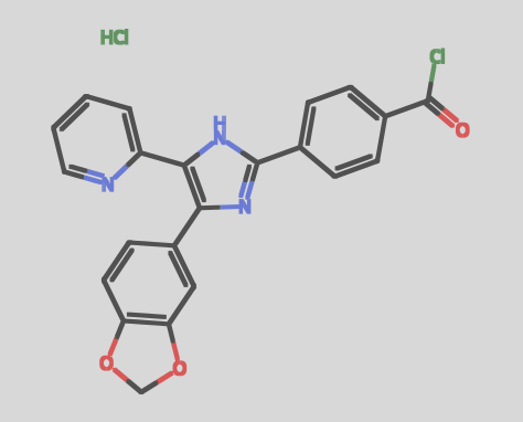 Cl.O=C(Cl)c1ccc(-c2nc(-c3ccc4c(c3)OCO4)c(-c3ccccn3)[nH]2)cc1